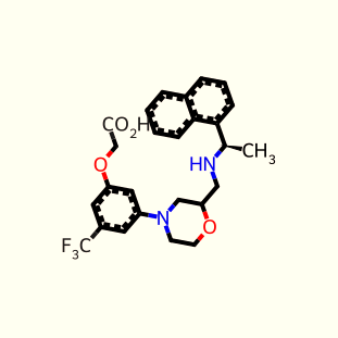 C[C@@H](NCC1CN(c2cc(OCC(=O)O)cc(C(F)(F)F)c2)CCO1)c1cccc2ccccc12